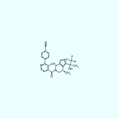 Cc1c(C(=O)N2Cc3cnc(C(C)(O)C(F)(F)F)n3[C@@H](C)C2)ccnc1-c1ccc(C#N)cc1